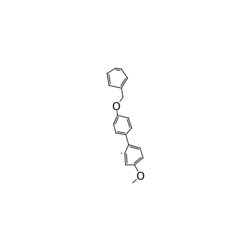 COc1c[c]c(-c2ccc(OCc3ccccc3)cc2)cc1